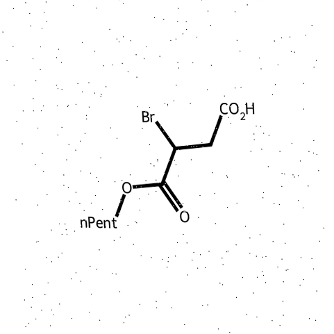 CCCCCOC(=O)C(Br)CC(=O)O